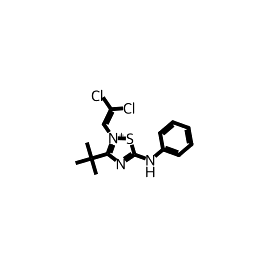 CC(C)(C)c1nc(Nc2ccccc2)s[n+]1C=C(Cl)Cl